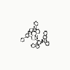 CCC1C(c2cccc(-c3ccccc3)c2)=CCC(c2cc(-n3c4ccccc4c4cc5ccccc5cc43)cc3oc4ccccc4c23)=NC1c1cccc2c1c1ccccc1n2-c1ccccc1